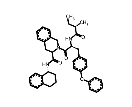 CC[C@@H](C)C(=O)N[C@@H](Cc1ccc(Oc2ccccc2)cc1)C(=O)N1Cc2ccccc2CC1C(=O)N[C@@H]1CCCc2ccccc21